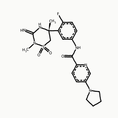 CN1C(=N)N[C@](C)(c2cc(NC(=O)c3ccc(N4CCCC4)cn3)ccc2F)CS1(=O)=O